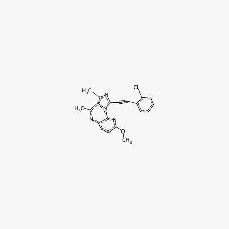 COc1ccc2nc(C)c3c(C)nc(C#Cc4ccccc4Cl)n3c2n1